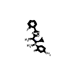 Cc1ccc(N(N)/C(=C(\N)c2nc(-c3ccccc3F)no2)C2CC2)c(F)c1